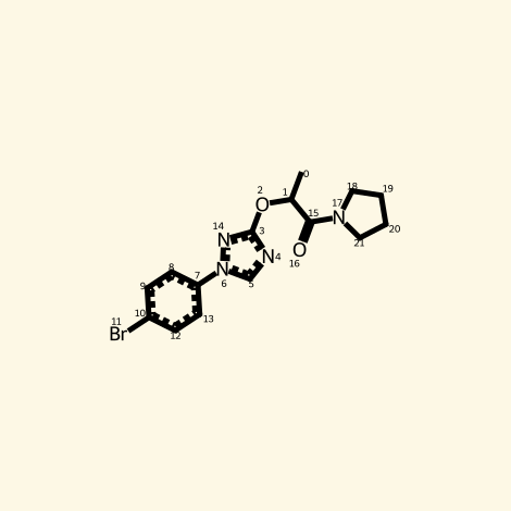 CC(Oc1ncn(-c2ccc(Br)cc2)n1)C(=O)N1CCCC1